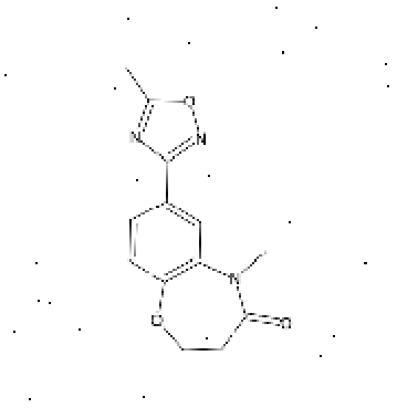 Cc1nc(-c2ccc3c(c2)N(C)C(=O)CCO3)no1